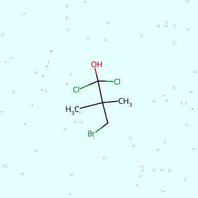 CC(C)(CBr)C(O)(Cl)Cl